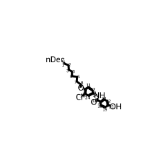 CCCCCCCCCCCCCCCCCCOc1ccc(NC(=O)c2ccc(O)cc2)cc1Cl